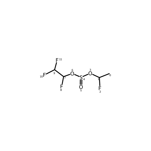 CC(F)OS(=O)OC(F)C(F)F